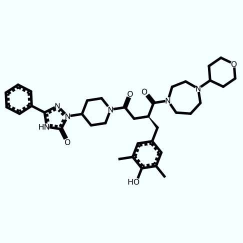 Cc1cc(C[C@@H](CC(=O)N2CCC(n3nc(-c4ccccc4)[nH]c3=O)CC2)C(=O)N2CCCN(C3CCOCC3)CC2)cc(C)c1O